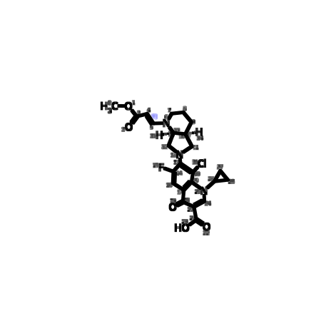 COC(=O)/C=C/N1CCC[C@H]2CN(c3c(F)cc4c(=O)c(C(=O)O)cn(C5CC5)c4c3Cl)C[C@H]21